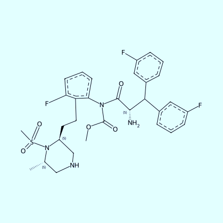 COC(=O)N(C(=O)[C@@H](N)C(c1cccc(F)c1)c1cccc(F)c1)c1cccc(F)c1CC[C@H]1CNC[C@H](C)N1S(C)(=O)=O